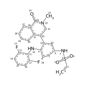 C=CS(=O)(=O)Nc1ccc(Nc2c(F)cccc2F)c(-c2cn(C)c(=O)c3ccccc23)c1